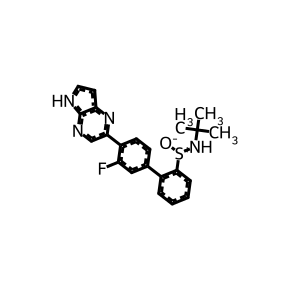 CC(C)(C)N[S+]([O-])c1ccccc1-c1ccc(-c2cnc3[nH]ccc3n2)c(F)c1